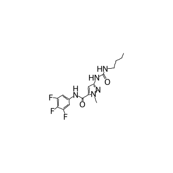 CCCCNC(=O)Nc1cc(C(=O)Nc2cc(F)c(F)c(F)c2)n(C)n1